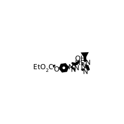 CCOC(=O)COc1ccc(-n2cc(C(O)[SH]3C(C4CC4)=Nc4cncn43)nn2)cc1